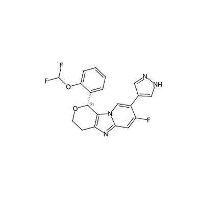 Fc1cc2nc3c(n2cc1-c1cn[nH]c1)[C@@H](c1ccccc1OC(F)F)OCC3